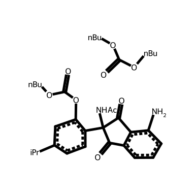 CCCCOC(=O)OCCCC.CCCCOC(=O)Oc1cc(C(C)C)ccc1C1(NC(C)=O)C(=O)c2cccc(N)c2C1=O